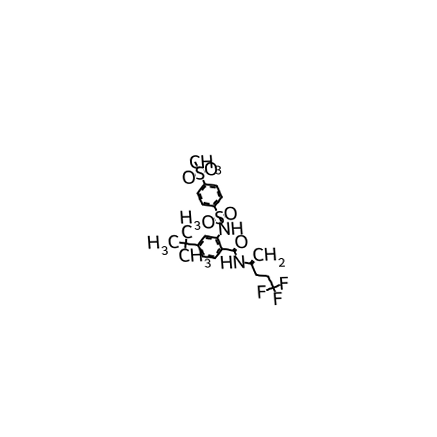 C=C(CCC(F)(F)F)NC(=O)c1ccc(C(C)(C)C)cc1NS(=O)(=O)c1ccc(S(C)(=O)=O)cc1